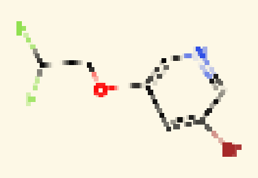 FC(F)COc1cncc(Br)c1